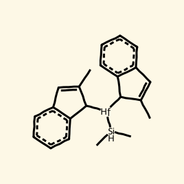 CC1=Cc2ccccc2[CH]1[Hf]([CH]1C(C)=Cc2ccccc21)[SiH](C)C